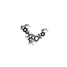 COc1cccc(S(=O)(=O)N2CCC[C@H](NC(=O)C(CC(C)C)NC(=O)c3cc4cc(OC)c(OC)cc4o3)C(=O)C2)c1